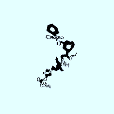 COC(=O)Oc1cn(CCC(C)(C)NCC(O)c2cccc(NS(=O)(=O)c3ccccc3)c2)cn1